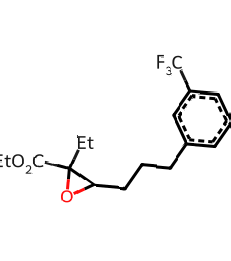 CCOC(=O)C1(CC)OC1CCCc1cccc(C(F)(F)F)c1